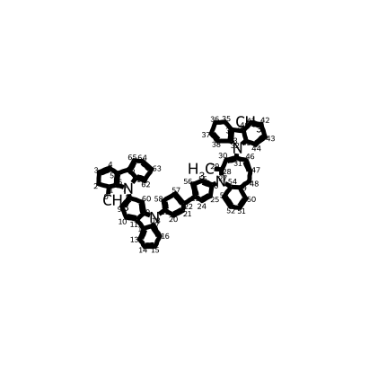 CC1CC=Cc2c1n(-c1ccc3c4ccccc4n(-c4ccc(-c5ccc(N6C(C)/C=C(N7C8=C(CCC=C8)[C@@]8(C)C=CC=CC78)\C=C/CC7C=CC=CC76)cc5)cc4)c3c1)c1ccccc21